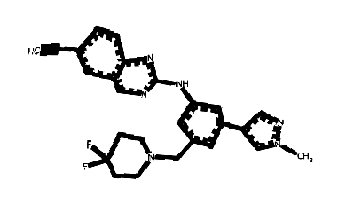 C#Cc1ccc2nc(Nc3cc(CN4CCC(F)(F)CC4)cc(-c4cnn(C)c4)c3)ncc2c1